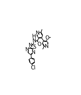 COc1cnc(C)cc1-c1cc(C)ncc1C(=O)Nc1nc2ncc(-c3ccc(Cl)cc3)nc2s1